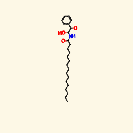 CCCCCCCCCCCCCCCC(=O)NC(O)C(=O)c1ccccc1